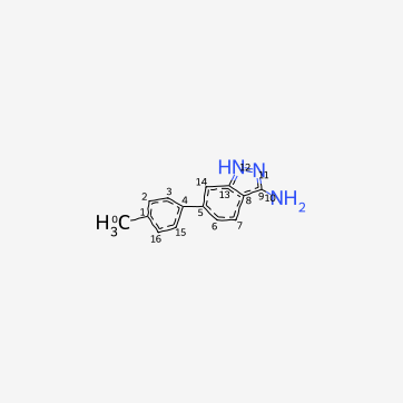 Cc1ccc(-c2ccc3c(N)n[nH]c3c2)cc1